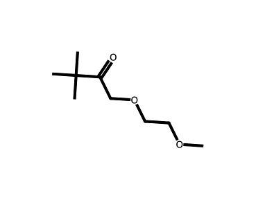 COCCOCC(=O)C(C)(C)C